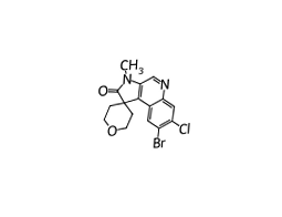 CN1C(=O)C2(CCOCC2)c2c1cnc1cc(Cl)c(Br)cc21